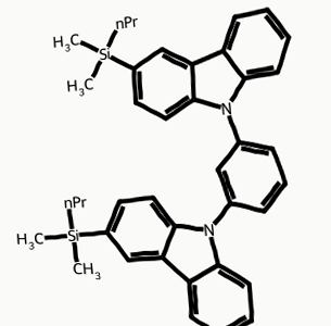 CCC[Si](C)(C)c1ccc2c(c1)c1ccccc1n2-c1cccc(-n2c3ccccc3c3cc([Si](C)(C)CCC)ccc32)c1